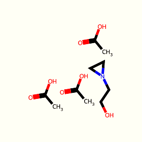 CC(=O)O.CC(=O)O.CC(=O)O.OCCN1CC1